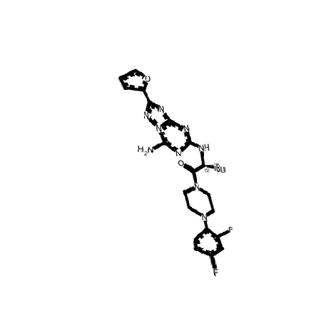 CCC(C)[C@H](Nc1nc(N)n2nc(-c3ccco3)nc2n1)C(=O)N1CCN(c2ccc(F)cc2F)CC1